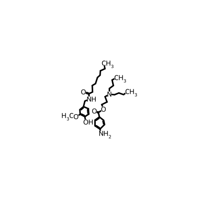 CCCCCCCCC(=O)NCc1ccc(O)c(OC)c1.CCCCN(CCCC)CCCOC(=O)c1ccc(N)cc1